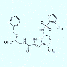 Cc1ccsc1S(=O)(=O)Nc1ccc(C)c2cc(C(=O)NCC(C=O)SCc3ccccc3)[nH]c12